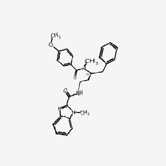 COc1ccc(C(=O)N(C)[C@H](CCNC(=O)c2nc3ccccc3n2C)Cc2ccccc2)cc1